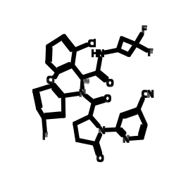 N#Cc1ccnc(N2C(=O)CCC2C(=O)N(c2cccc(F)c2)[C@H](C(=O)NC2CC(F)(F)C2)c2c(Cl)cccc2Cl)c1